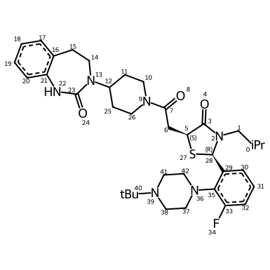 CC(C)CN1C(=O)[C@H](CC(=O)N2CCC(N3CCc4ccccc4NC3=O)CC2)S[C@@H]1c1cccc(F)c1N1CCN(C(C)(C)C)CC1